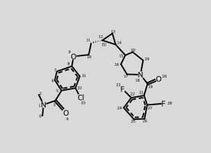 CN(C)C(=O)c1ccc(OCC[C@@H]2CC2C2CCN(C(=O)c3c(F)cccc3F)CC2)cc1Cl